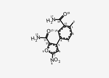 Cc1ccc(-c2cc([N+](=O)[O-])oc2C(N)=O)cc1C(N)=O